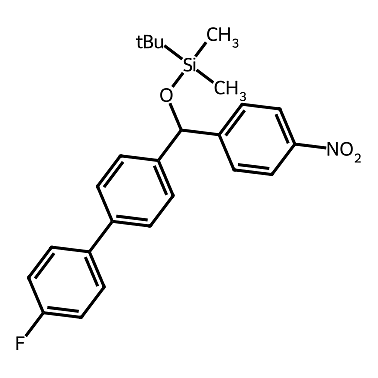 CC(C)(C)[Si](C)(C)OC(c1ccc(-c2ccc(F)cc2)cc1)c1ccc([N+](=O)[O-])cc1